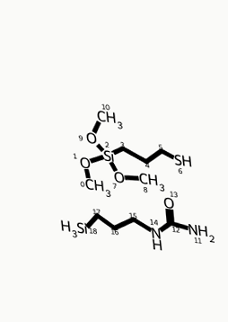 CO[Si](CCCS)(OC)OC.NC(=O)NCCC[SiH3]